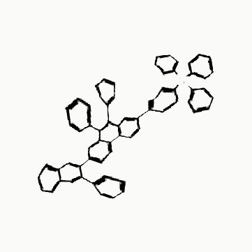 c1ccc(-c2cc3ccccc3cc2-c2ccc3c(c2)c(-c2ccccc2)c(-c2ccccc2)c2cc(-c4ccc([Si](c5ccccc5)(c5ccccc5)c5ccccc5)cc4)ccc23)cc1